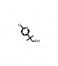 CC(C)(CO)c1ccc(Cl)nc1